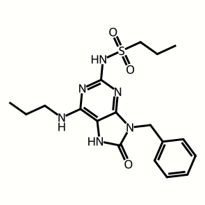 CCCNc1nc(NS(=O)(=O)CCC)nc2c1[nH]c(=O)n2Cc1ccccc1